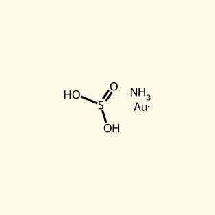 N.O=S(O)O.[Au]